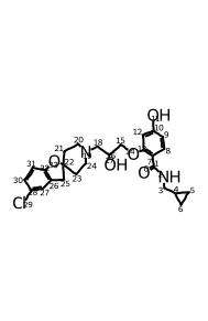 O=C(NCC1CC1)c1ccc(O)cc1OC[C@@H](O)CN1CCC2(CC1)Cc1cc(Cl)ccc1O2